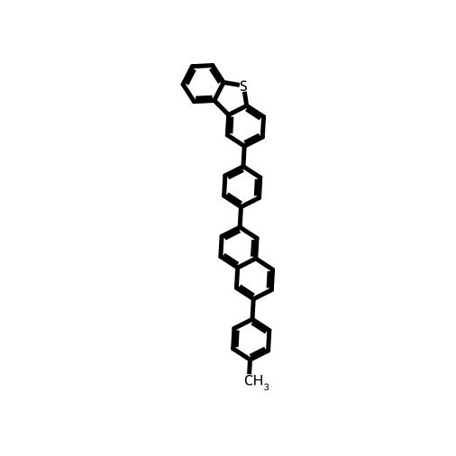 Cc1ccc(-c2ccc3cc(-c4ccc(-c5ccc6sc7ccccc7c6c5)cc4)ccc3c2)cc1